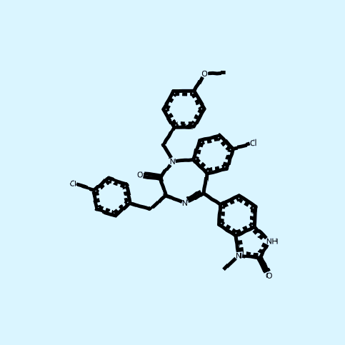 COc1ccc(CN2C(=O)C(Cc3ccc(Cl)cc3)N=C(c3ccc4[nH]c(=O)n(C)c4c3)c3cc(Cl)ccc32)cc1